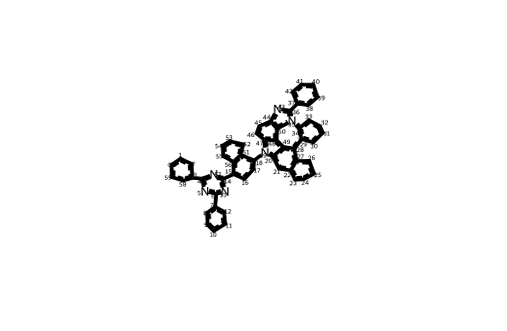 c1ccc(-c2nc(-c3ccccc3)nc(-c3ccc(-n4c5cc6ccccc6c6c7ccccc7n7c(-c8ccccc8)nc8ccc4c(c65)c87)c4ccccc34)n2)cc1